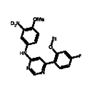 CCOc1cc(F)ccc1-c1cc(Nc2ccc(OC)c([N+](=O)[O-])c2)ncn1